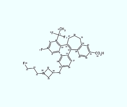 CC(F)(F)c1cc(F)ccc1C1=C(c2ccc(CC3CN(CCCF)C3)cc2)c2ccc(C(=O)O)cc2CCC1